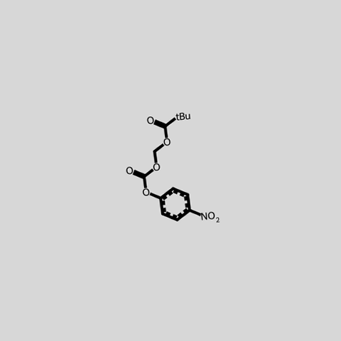 CC(C)(C)C(=O)OCOC(=O)Oc1ccc([N+](=O)[O-])cc1